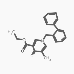 CCOC(=O)c1cn(Cc2ccccc2-c2ccccc2)cc(C)c1=O